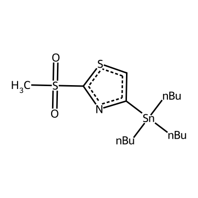 CCC[CH2][Sn]([CH2]CCC)([CH2]CCC)[c]1csc(S(C)(=O)=O)n1